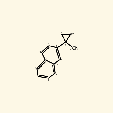 N#CC1(c2ccc3ccccc3c2)CC1